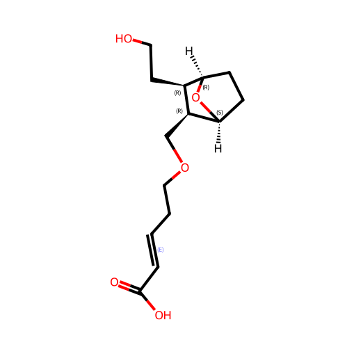 O=C(O)/C=C/CCOC[C@H]1[C@@H](CCO)[C@H]2CC[C@@H]1O2